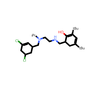 CC(C)N(CCNCC1CC(C(C)(C)C)=CC(C(C)(C)C)=C1O)CC1C=C(Cl)CC(Cl)C1